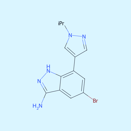 CC(C)n1cc(-c2cc(Br)cc3c(N)n[nH]c23)cn1